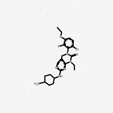 CCOc1ccc(Cl)c(N2Cc3cnc(NC4CCC(N)CC4)nc3N(CC)C2=O)c1F